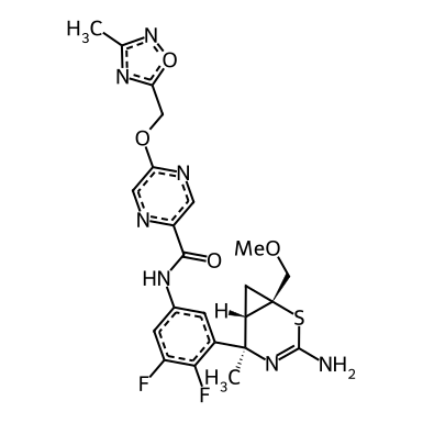 COC[C@]12C[C@H]1[C@](C)(c1cc(NC(=O)c3cnc(OCc4nc(C)no4)cn3)cc(F)c1F)N=C(N)S2